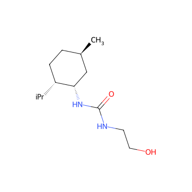 CC(C)[C@@H]1CC[C@@H](C)C[C@@H]1NC(=O)NCCO